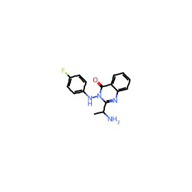 CC(N)c1nc2ccccc2c(=O)n1Nc1ccc(F)cc1